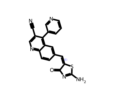 N#Cc1cnc2ccc(/C=C3/SC(N)=NC3=O)cc2c1-c1cccnc1